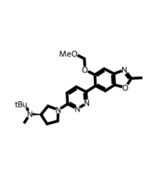 COCOc1cc2nc(C)oc2cc1-c1ccc(N2CC[C@@H](N(C)C(C)(C)C)C2)nn1